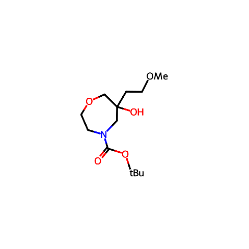 COCCC1(O)COCCN(C(=O)OC(C)(C)C)C1